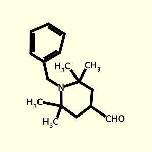 CC1(C)CC(C=O)CC(C)(C)N1Cc1ccccc1